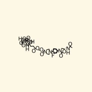 CC(=O)NC[C@H]1CN(c2ccc(N3CCN(C(=O)OCOC(=O)CCC(=O)NC(P(=O)(O)O)P(=O)(O)O)CC3)c(F)c2)C(=O)O1